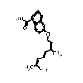 CC(C)=CCCC(C)=CCOc1ccc2c(C(=O)O)cccc2c1